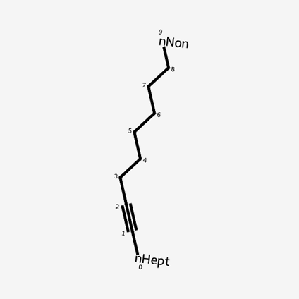 CCCCCCCC#CCCCCCCCCCCCCCCC